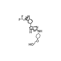 OCCO[C@H]1CC[C@H](Nc2ncc3c(-c4ccc5nnn(CC(F)F)c5c4)c[nH]c3n2)CC1